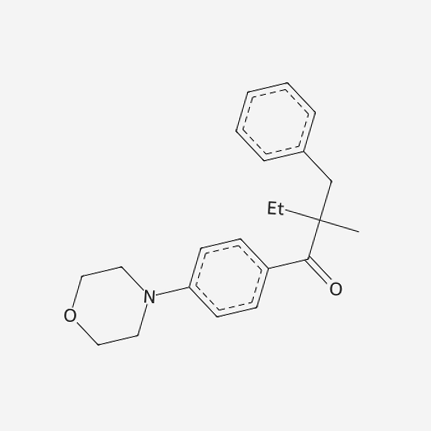 CCC(C)(Cc1ccccc1)C(=O)c1ccc(N2CCOCC2)cc1